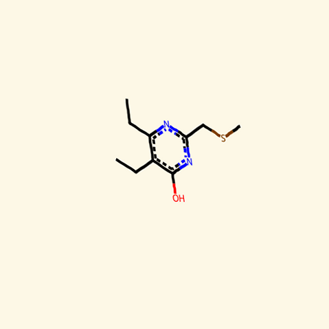 CCc1nc(CSC)nc(O)c1CC